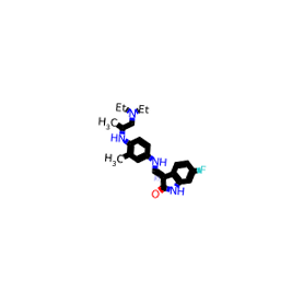 CCN(CC)CC(C)Nc1ccc(N/C=C2/C(=O)Nc3cc(F)ccc32)cc1C